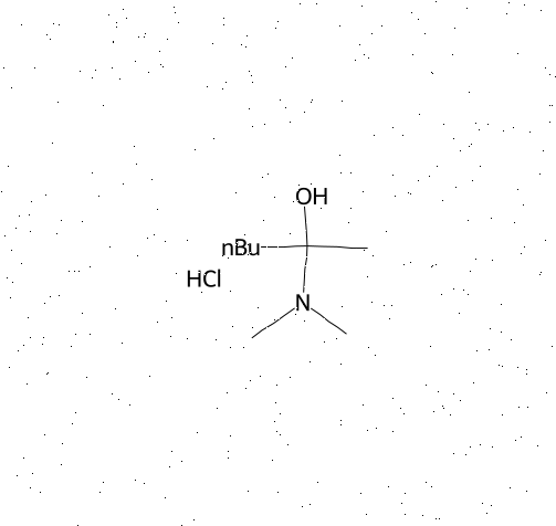 CCCCC(C)(O)N(C)C.Cl